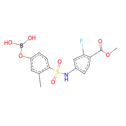 COC(=O)c1ccc(NS(=O)(=O)c2ccc(OB(O)O)cc2C)cc1F